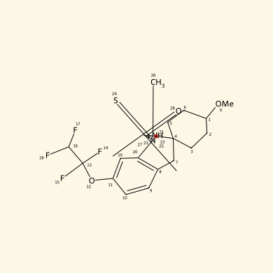 COC1CCC2(CC1)Cc1ccc(OC(F)(F)C(F)F)cc1C21NC(=S)N(C)C1=O